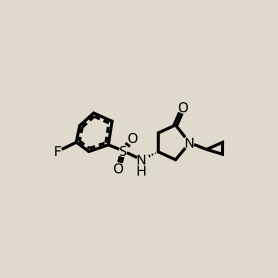 O=C1C[C@@H](NS(=O)(=O)c2cccc(F)c2)CN1C1CC1